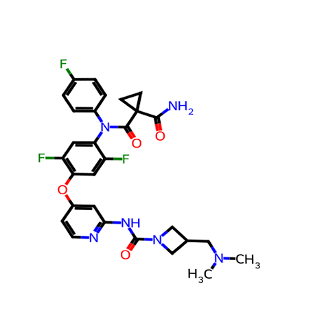 CN(C)CC1CN(C(=O)Nc2cc(Oc3cc(F)c(N(C(=O)C4(C(N)=O)CC4)c4ccc(F)cc4)cc3F)ccn2)C1